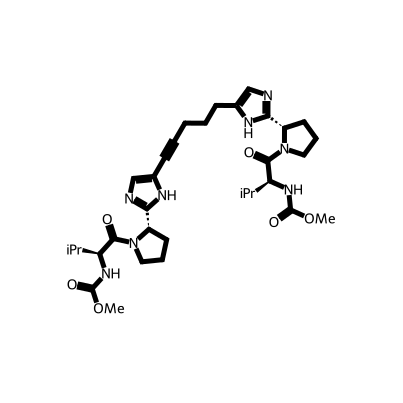 COC(=O)N[C@H](C(=O)N1CCC[C@H]1c1ncc(C#CCCCc2cnc([C@@H]3CCCN3C(=O)[C@@H](NC(=O)OC)C(C)C)[nH]2)[nH]1)C(C)C